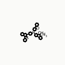 CC1(C)c2ccccc2-c2ccc(N(c3ccc(-c4cc5ccccc5c5c4sc4ccccc45)cc3)c3ccc4c(c3)oc3ccccc34)cc21